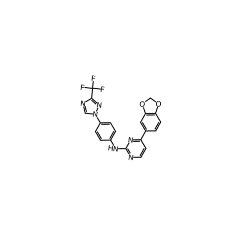 FC(F)(F)c1ncn(-c2ccc(Nc3nccc(-c4ccc5c(c4)OCO5)n3)cc2)n1